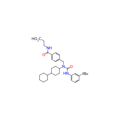 CC(C)(C)c1cccc(NC(=O)N(Cc2ccc(C(=O)NCCC(=O)O)cc2)C2CCC(C3CCCCC3)CC2)c1